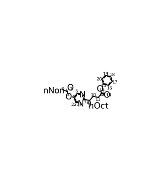 CCCCCCCCCC(=O)Oc1cnc(C(CCCCCCCC)CCC(=O)Oc2ccccc2)nc1